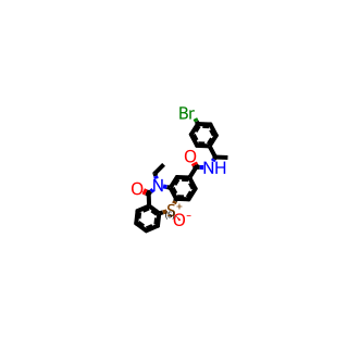 CCN1C(=O)c2ccccc2[S@@+]([O-])c2ccc(C(=O)NC(C)c3ccc(Br)cc3)cc21